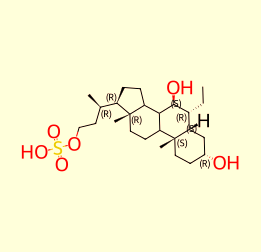 CC[C@H]1[C@H](O)C2C3CC[C@H]([C@H](C)CCOS(=O)(=O)O)[C@@]3(C)CCC2[C@@]2(C)CC[C@@H](O)C[C@@H]12